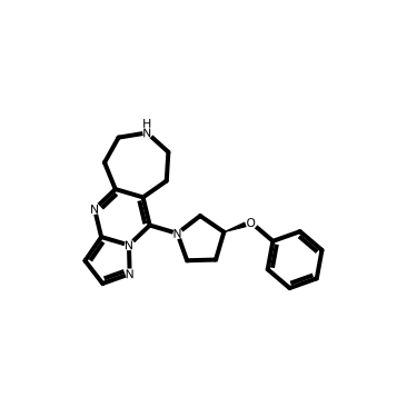 c1ccc(O[C@H]2CCN(c3c4c(nc5ccnn35)CCNCC4)C2)cc1